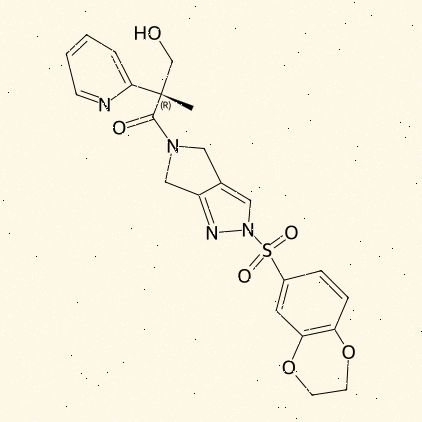 C[C@@](CO)(C(=O)N1Cc2cn(S(=O)(=O)c3ccc4c(c3)OCCO4)nc2C1)c1ccccn1